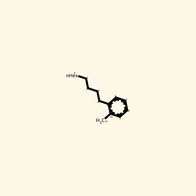 [CH2]CCCCCCCCCc1ccccc1C